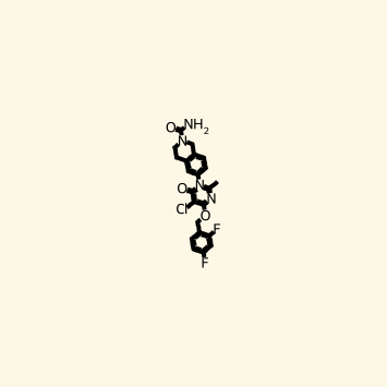 Cc1nc(OCc2ccc(F)cc2F)c(Cl)c(=O)n1-c1ccc2c(c1)CCN(C(N)=O)C2